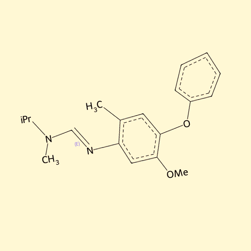 COc1cc(/N=C/N(C)C(C)C)c(C)cc1Oc1ccccc1